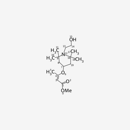 COC(=O)/C=C(/C)OC1CC(C)(C)N(CCO)C(C)(C)C1